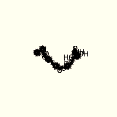 O=C(Nc1ccccc1-c1ccccc1)OC1CCN(CCC2CCN(C(=O)COc3ccc(CNCC(O)c4ccc(O)c5[nH]c(=O)ccc45)cc3)CC2)CC1